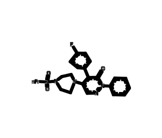 CCCS(=O)(=O)N1CCN(c2cnn(-c3ccccc3)c(=O)c2-c2ccc(F)cc2)CC1